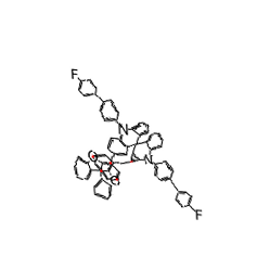 Fc1ccc(-c2ccc(N3c4ccccc4C4(c5ccccc5N(c5ccc(-c6ccc(F)cc6)cc5)c5ccc(-c6cccc7c6oc6ccccc67)cc54)c4cc(-c5cccc6c5oc5ccccc56)ccc43)cc2)cc1